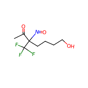 CC(=O)C(CCCCO)(N=O)C(F)(F)F